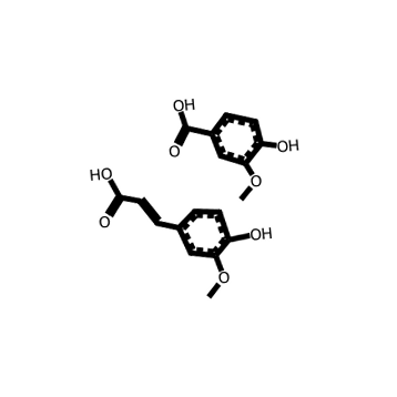 COc1cc(/C=C/C(=O)O)ccc1O.COc1cc(C(=O)O)ccc1O